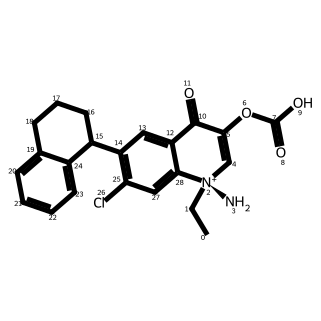 CC[N@@+]1(N)C=C(OC(=O)O)C(=O)c2cc(C3CCCc4ccccc43)c(Cl)cc21